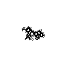 CCOC(C)COc1cc(F)ccc1COC1=C(Br)C(=O)C(c2c(F)cccc2F)C(C)=C1